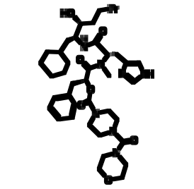 CC(C)CC[C@H](O)[C@H](CC1CCCCC1)NC(=O)[C@H](Cc1c[nH]cn1)N(C)C(=O)[C@H](Cc1ccccc1)OC(=O)N1CCN(C(=O)N2CCOCC2)CC1